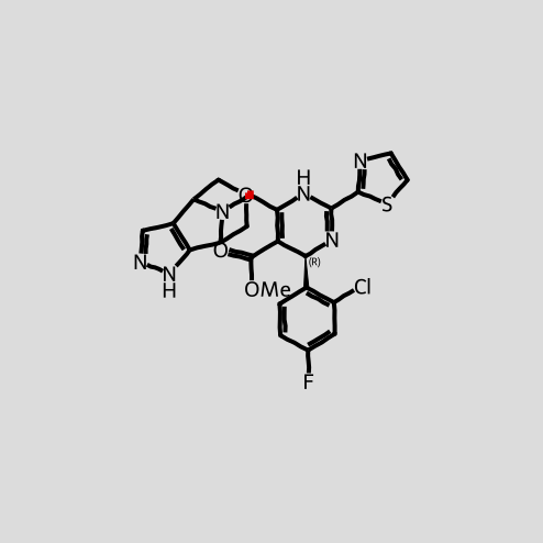 COC(=O)C1=C(CN2C3COCC2c2[nH]ncc23)NC(c2nccs2)=N[C@H]1c1ccc(F)cc1Cl